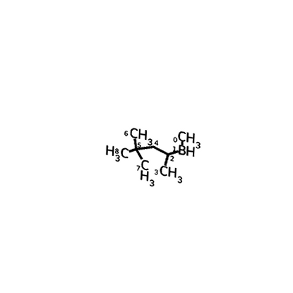 CBC(C)CC(C)(C)C